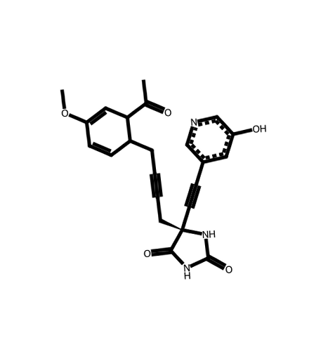 COC1=CC(C(C)=O)C(CC#CC[C@@]2(C#Cc3cncc(O)c3)NC(=O)NC2=O)C=C1